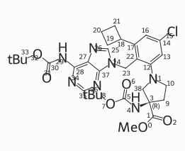 COC(=O)[C@@]1(NC(=O)OC(C)(C)C)CCN(c2cc(Cl)cc(C3CCC3)c2Cn2cnc3c(NC(=O)OC(C)(C)C)ncnc32)C1